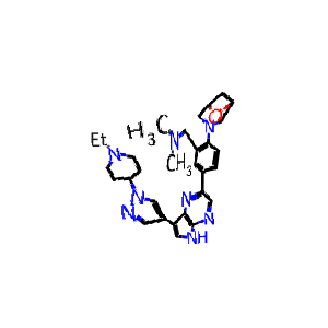 CCN1CCC(n2cc(-c3c[nH]c4ncc(-c5ccc(N6CC7CC(C6)O7)c(CN(C)C)c5)nc34)cn2)CC1